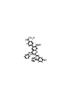 O=C(O)Nc1ccc(-c2cc(C(Cc3ccccc3)NC(=O)C=Cc3cc(Cl)ccc3-n3cnnn3)nnc2CO)cc1